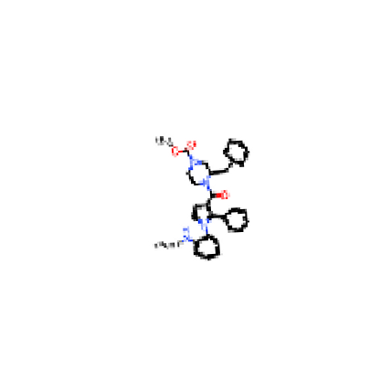 CCCCCNc1ccccc1-n1ccc(C(=O)N2CCN(C(=O)OC(C)(C)C)CC2Cc2ccccc2)c1-c1ccccc1